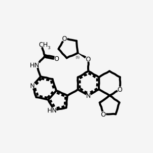 CC(=O)Nc1cc2c(-c3cc(O[C@H]4CCOC4)c4c(n3)C3(CCOC3)OCC4)c[nH]c2cn1